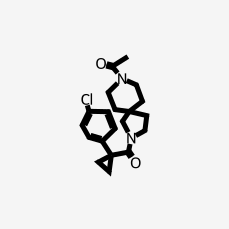 CC(=O)N1CCC2(CC1)CCN(C(=O)C1(c3ccc(Cl)cc3)CC1)C2